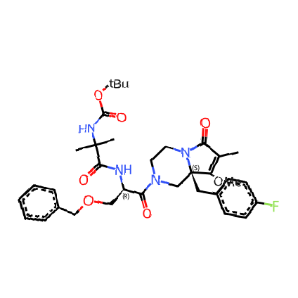 COC1=C(C)C(=O)N2CCN(C(=O)[C@@H](COCc3ccccc3)NC(=O)C(C)(C)NC(=O)OC(C)(C)C)C[C@@]12Cc1ccc(F)cc1